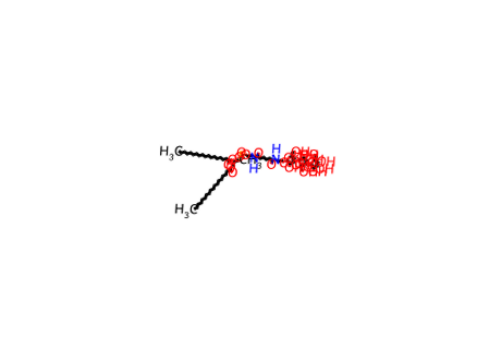 CCCCCCCCCCCCCCCCCC(=O)OC[C@@H](COP(C)(=O)OCCNC(=O)CCCCC(=O)NCCO[C@@H]1OC(CO)[C@@H](O[C@@H]2OC(CO)[C@H](O[C@H]3OC(CO)[C@H](O)[C@H](O)C3O)[C@H](O)C2O)[C@H](O)C1O)OC(=O)CCCCCCCCCCCCCCCCC